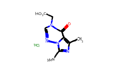 CNc1nc(C)c2c(=O)n(CC(=O)O)cnn12.Cl